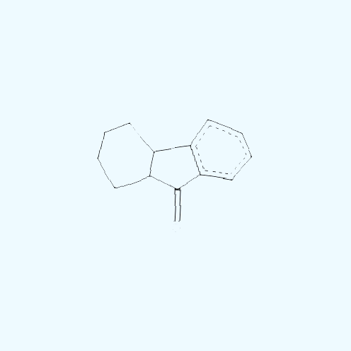 O=C1c2ccccc2C2CCCCC12